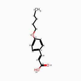 CCCCCOc1ccc(C=CC(=O)O)cc1